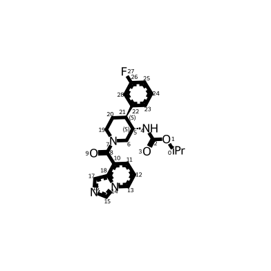 CC(C)OC(=O)N[C@@H]1CN(C(=O)c2cccn3cncc23)CC[C@H]1c1cccc(F)c1